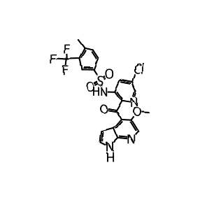 COc1cnc2[nH]ccc2c1C(=O)c1ncc(Cl)cc1NS(=O)(=O)c1ccc(C)c(C(F)(F)F)c1